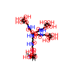 [3H]P(=C)(O)O[C@H]1[C@H]2OC(C)[C@]1(COP(=O)(O)OCCCNC(=O)CCCC(=O)NC(COCCC(=O)NCCCO[C@@H]1OC(CO)[C@H](O)[C@H](O)C1C)(COCCC(=O)NCCCO[C@@H]1OC(CO)[C@H](O)[C@H](O)C1C)COCCC(=O)NCCCO[C@@H]1OC(CO)[C@H](O)[C@H](O)C1C)O[C@H]2C